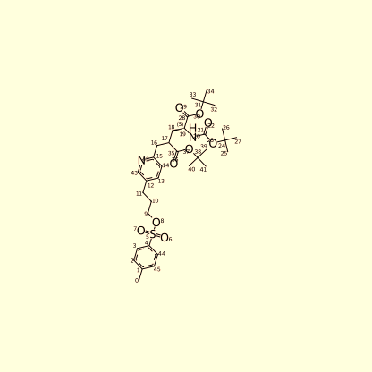 Cc1ccc(S(=O)(=O)OCCCc2ccc(CC(C[C@H](NC(=O)OC(C)(C)C)C(=O)OC(C)(C)C)C(=O)OC(C)(C)C)nc2)cc1